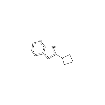 c1cnc2[nH]c(C3CCC3)cc2c1